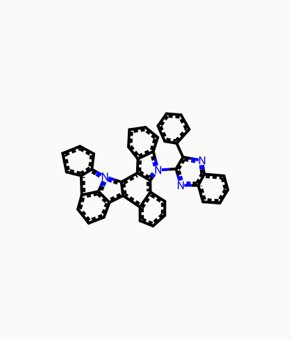 c1ccc(-c2nc3ccccc3nc2-n2c3ccccc3c3c2c2ccccc2c2c4cccc5c6ccccc6n(c54)c23)cc1